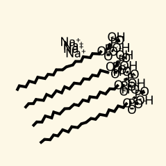 CCCCCCCCCCCCCCCCCCCOP(=O)([O-])CP(=O)(O)O.CCCCCCCCCCCCCCCCCCCOP(=O)([O-])CP(=O)(O)O.CCCCCCCCCCCCCCCCCCCOP(=O)([O-])CP(=O)(O)O.CCCCCCCCCCCCCCCCCCCOP(=O)([O-])CP(=O)(O)O.[Na+].[Na+].[Na+].[Na+]